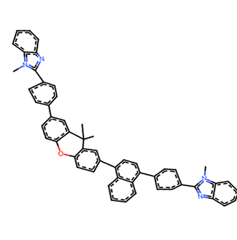 Cn1c(-c2ccc(-c3ccc4c(c3)C(C)(C)c3cc(-c5ccc(-c6ccc(-c7nc8ccccc8n7C)cc6)c6ccccc56)ccc3O4)cc2)nc2ccccc21